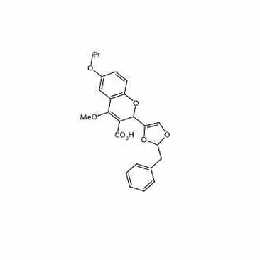 COC1=C(C(=O)O)C(C2=COC(Cc3ccccc3)O2)Oc2ccc(OC(C)C)cc21